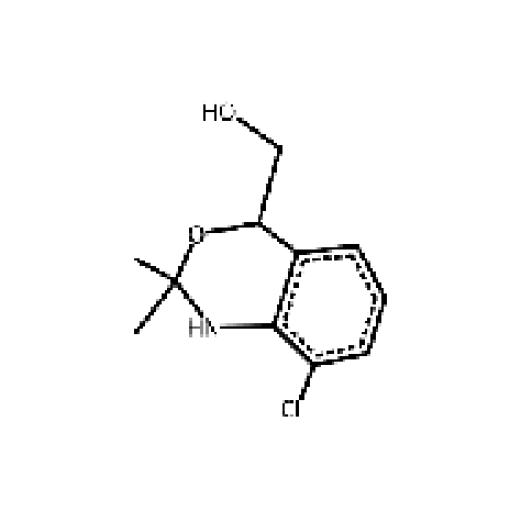 CC1(C)Nc2c(Cl)cccc2C(CO)O1